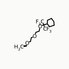 C=COCCOCCOC(C1CCCCC1)(C(F)(F)F)C(F)(F)F